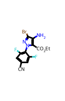 CCOC(=O)c1c(N)c(Br)nn1-c1c(F)cc(C#N)cc1F